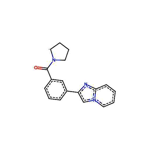 O=C(c1cccc(-c2cn3ccccc3n2)c1)N1[CH]CCC1